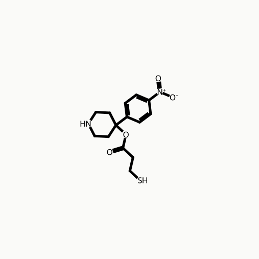 O=C(CCS)OC1(c2ccc([N+](=O)[O-])cc2)CCNCC1